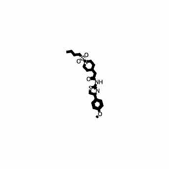 CCCCS(=O)(=O)N1CCC(CC(=O)NC2=NC(c3ccc(OC)cc3)CS2)CC1